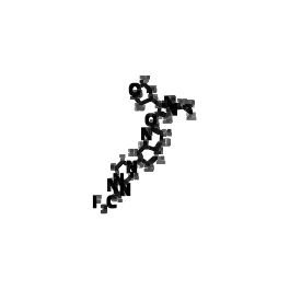 FC(F)(F)c1nc2n(n1)CCN(c1ccc3ccc(Oc4cn(C5CC5)nc4C4CCOCC4)nc3c1)C2